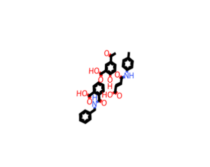 CC(=O)c1ccc(O)c(C(=O)O)c1.Cc1ccc(NC(=O)C=CC(=O)O)cc1.O=C(O)c1ccccc1C(=O)NCc1ccccc1